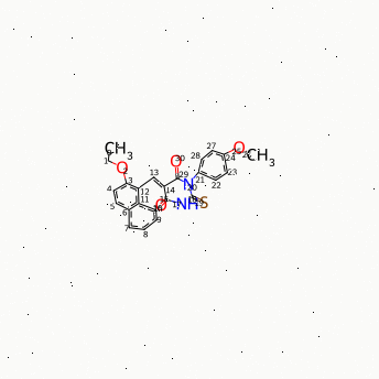 CCOc1ccc2ccccc2c1C=C1C(=O)NC(=S)N(c2ccc(OC)cc2)C1=O